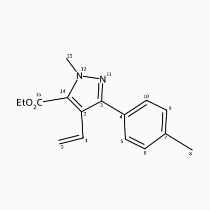 C=Cc1c(-c2ccc(C)cc2)nn(C)c1C(=O)OCC